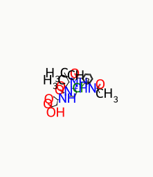 CC(=O)Nc1cccc(C(=O)N[C@H](C(=O)[N+]2(C(=O)N[C@H](C=O)CC(=O)O)CCCC2)C(C)(C)C)c1Cl